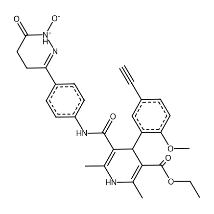 C#Cc1ccc(OC)c(C2C(C(=O)Nc3ccc(C4=N[NH+]([O-])C(=O)CC4)cc3)=C(C)NC(C)=C2C(=O)OCC)c1